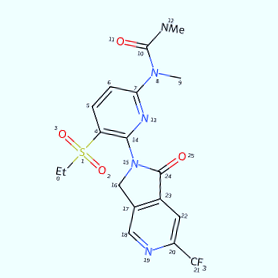 CCS(=O)(=O)c1ccc(N(C)C(=O)NC)nc1N1Cc2cnc(C(F)(F)F)cc2C1=O